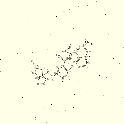 COc1cc(C2(NC(=O)c3cc(OCC45CCCN4C[C@H](F)C5)ccc3C)CC2)c2cccnc2c1